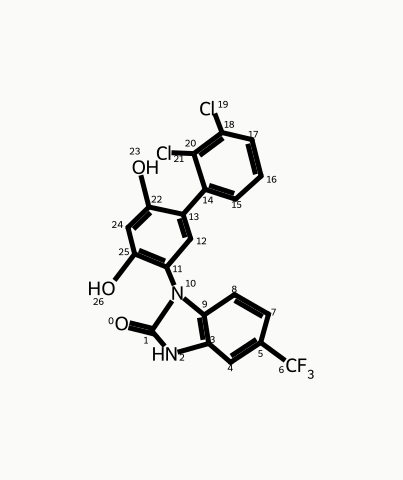 O=c1[nH]c2cc(C(F)(F)F)ccc2n1-c1cc(-c2cccc(Cl)c2Cl)c(O)cc1O